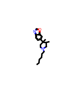 CCCCCCN1CCC(C)(c2ccc3ncoc3c2)C(C)C1